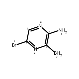 Bc1nc(Br)cnc1N